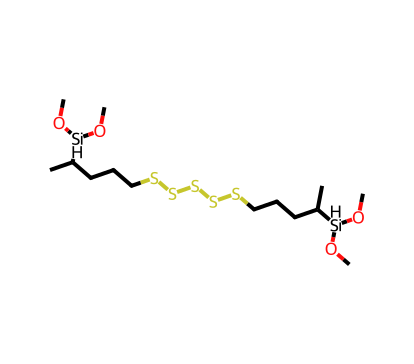 CO[SiH](OC)C(C)CCCSSSSSCCCC(C)[SiH](OC)OC